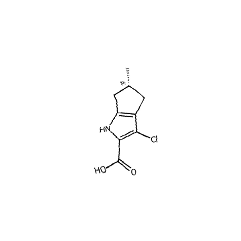 C[C@H]1Cc2[nH]c(C(=O)O)c(Cl)c2C1